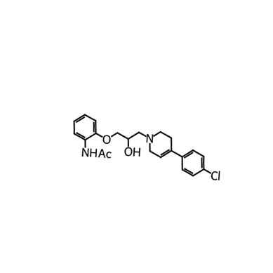 CC(=O)Nc1ccccc1OCC(O)CN1CC=C(c2ccc(Cl)cc2)CC1